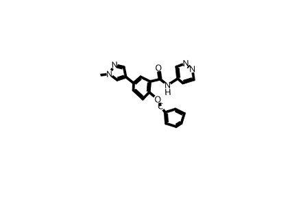 Cn1cc(-c2ccc(OCc3ccccc3)c(C(=O)Nc3ccnnc3)c2)cn1